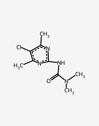 Cc1nc(NC(=O)N(C)C)nc(C)c1Cl